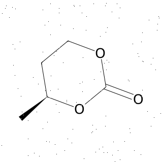 C[C@H]1CCOC(=O)O1